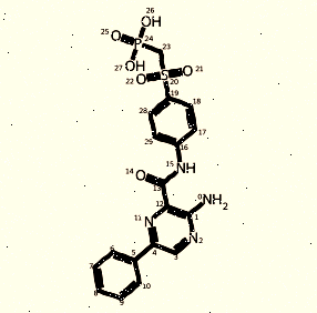 Nc1ncc(-c2ccccc2)nc1C(=O)Nc1ccc(S(=O)(=O)CP(=O)(O)O)cc1